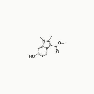 COC(=O)c1c(C)n(C)c2cc(O)ccc12